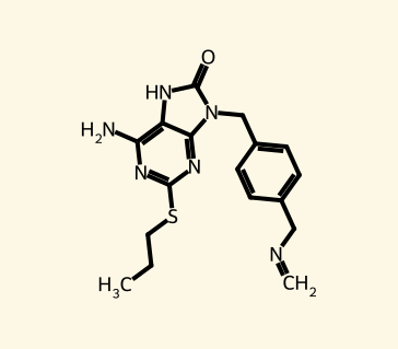 C=NCc1ccc(Cn2c(=O)[nH]c3c(N)nc(SCCC)nc32)cc1